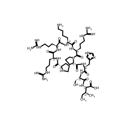 CC[C@H](C)[C@H](NC(=O)[C@H](CO)NC(=O)[C@H](Cc1c[nH]cn1)NC(=O)[C@@H]1CCCN1C(=O)[C@H](CCCNC(=N)N)NC(=O)[C@H](CCCCN)NC(=O)[C@H](CCCNC(=N)N)NC(=O)[C@H](CCCNC(=N)N)NC(=O)[C@@H]1CCCN1)C(=O)O